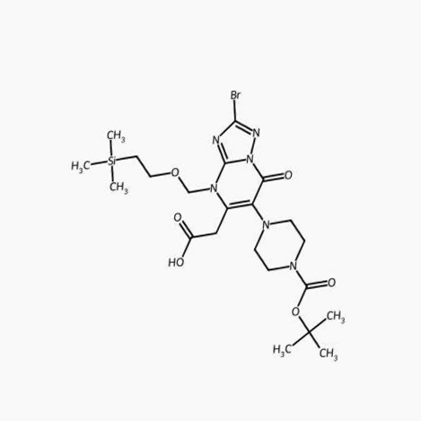 CC(C)(C)OC(=O)N1CCN(c2c(CC(=O)O)n(COCC[Si](C)(C)C)c3nc(Br)nn3c2=O)CC1